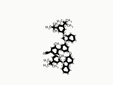 Cc1cc(C#N)cc(C)c1-c1cc(Oc2ccc3c4ccccc4n(-c4cc(C(C)(C)C)ccn4)c3c2)cc(-n2c[n+](-c3cc(C(C)(C)C)cc(C(C)(C)C)c3)c3ccccc32)c1